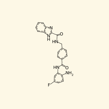 Nc1ccc(F)cc1NC(=O)c1ccc(CNC(=O)c2nc3ccccc3[nH]2)cc1